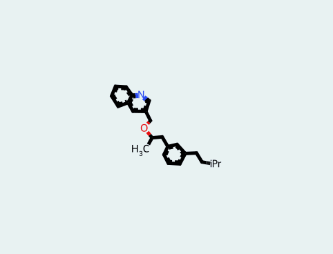 CC(C)CCc1cccc(CC(C)OCc2cnc3ccccc3c2)c1